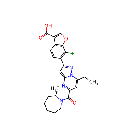 CCc1cc(C(=O)N2CCCCC[C@H]2C)nc2cc(-c3ccc4c(C(=O)O)coc4c3F)nn12